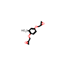 O=S(=O)(O)c1cc(OCC2CO2)ccc1OCC1CO1